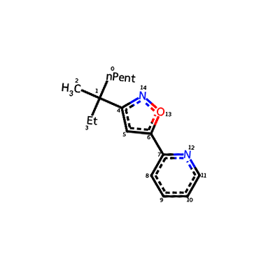 CCCCCC(C)(CC)c1cc(-c2ccccn2)on1